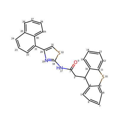 O=C(CC1c2ccccc2Sc2ccccc21)Nc1nc(-c2cccc3ccccc23)cs1